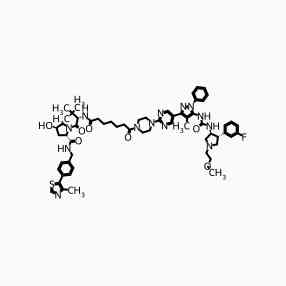 COCCN1C[C@@H](NC(=O)Nc2c(C)c(-c3cnc(N4CCN(C(=O)CCCCCC(=O)N[C@H](C(=O)N5C[C@H](O)C[C@H]5C(=O)NCc5ccc(-c6scnc6C)cc5)C(C)(C)C)CC4)nc3)nn2-c2ccccc2)[C@H](c2cccc(F)c2)C1